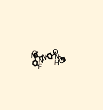 Cc1onc(-c2cccc(F)c2)c1-c1cn(-c2ccc(C(=O)NCc3ccco3)cc2)cn1